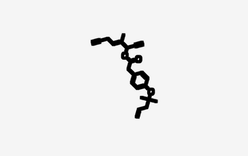 C#CCC=C(C)C(C#C)OC(=O)Cc1ccc(OC(C)(C)CC=C)cc1